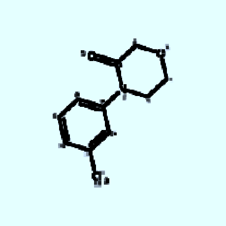 O=C1COCCN1c1cccc(C(F)(F)F)c1